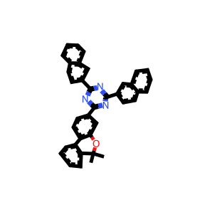 CC1(C)Oc2cc(-c3nc(-c4ccc5ccccc5c4)nc(-c4ccc5ccccc5c4)n3)ccc2-c2ccccc21